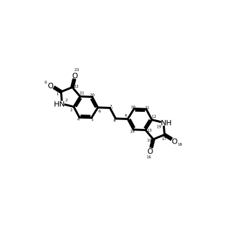 O=C1Nc2ccc([CH]Cc3ccc4c(c3)C(=O)C(=O)N4)cc2C1=O